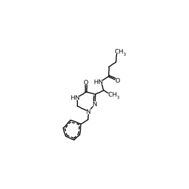 CCCC(=O)NC(C)C1=NN(Cc2ccccc2)CNC1=O